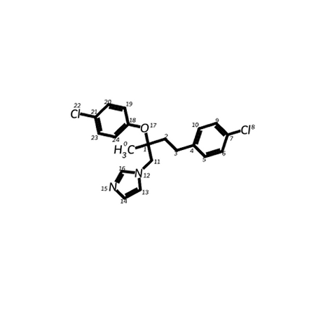 CC(CCc1ccc(Cl)cc1)(Cn1ccnc1)Oc1ccc(Cl)cc1